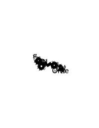 COc1cc(/C=C/C2=NOC3(c4ccc(F)cc4)CCCCC23)ccc1-n1cnc(C)c1